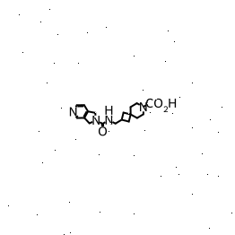 O=C(O)N1CCC2(CC1)CC(CNC(=O)N1Cc3ccncc3C1)C2